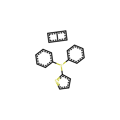 c1cc2ccc1-2.c1ccc([S+](c2ccccc2)c2cccs2)cc1